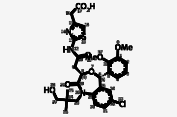 COc1cccc([C@H]2O[C@H](CC(=O)Nc3nc(CC(=O)O)cs3)C(=O)N(CC(C)(C)CO)c3ccc(Cl)cc32)c1OC